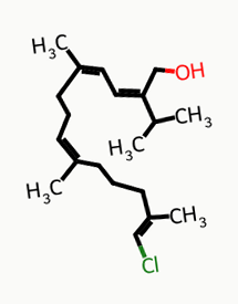 CC(=CC=C(CO)C(C)C)CCC=C(C)CCCC(C)=CCl